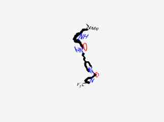 CNCCc1ccc(C(=O)NCCCCC2CCN(C(=O)c3ccc(C(F)(F)F)cn3)CC2)[nH]1